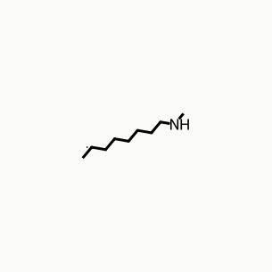 C[CH]CCCCCCNC